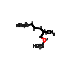 CCCCCCCCCCC(C)COS(=O)(=O)O